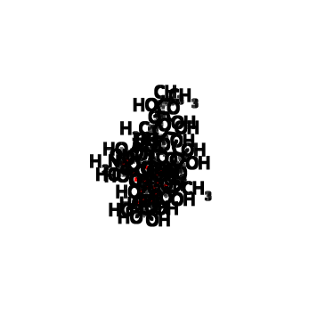 CC1C(O)[C@H](O[C@@H]2OC(CO[C@]3(C(=O)O)C[C@@H](O)[C@@H](N)C([C@H](O)C(O)CO)O3)[C@H](O)C(O)[C@@H]2O)[C@H](CO)O[C@H]1O[C@@H]1C(O)[C@H](O)C(CO)O[C@@H]1OCC1O[C@@H](O[C@@H]2C(CO)O[C@@H](O[C@@H]3C(CO)O[C@@H](C)C(C)[C@H]3O)[C@@H](C)C2O)[C@H](O)C(O[C@H]2O[C@H](CO)[C@@H](O)C(O)C2O[C@@H]2OC(CO)[C@@H](O[C@@H]3OC(CO)[C@H](O)C(O)[C@@H]3O)C(O)[C@@H]2C)[C@@H]1O